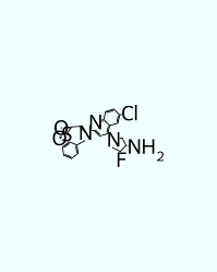 N[C@H]1CN(c2cc(N3CCS(=O)(=O)c4ccccc4C3)nc3ccc(Cl)cc23)C[C@@H]1F